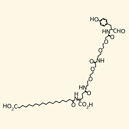 O=CC(Cc1ccc(O)cc1)NC(=O)COCCOCCNC(=O)COCCOCCNC(=O)CC[C@H](NC(=O)CCCCCCCCCCCCCCCCC(=O)O)C(=O)O